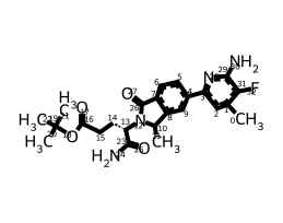 Cc1cc(-c2ccc3c(c2)C(C)N([C@@H](CCC(=O)OC(C)(C)C)C(N)=O)C3=O)nc(N)c1F